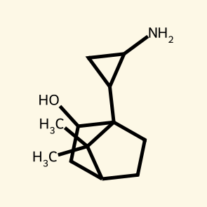 CC1(C)C2CCC1(C1CC1N)C(O)C2